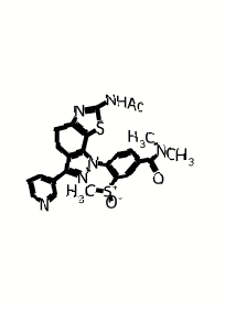 CC(=O)Nc1nc2c(s1)-c1c(c(-c3cccnc3)nn1-c1ccc(C(=O)N(C)C)cc1[S+](C)[O-])CC2